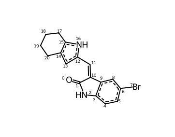 O=C1Nc2ccc(Br)cc2C1=Cc1cc2c([nH]1)CCCC2